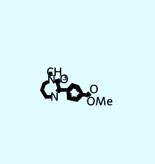 COC(=O)c1ccc(C2=NCCCN(C)C2=O)cc1